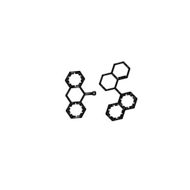 C1=C2C(CCC1)CCCC2c1cccc2ccccc12.O=C1c2ccccc2Cc2ccccc21